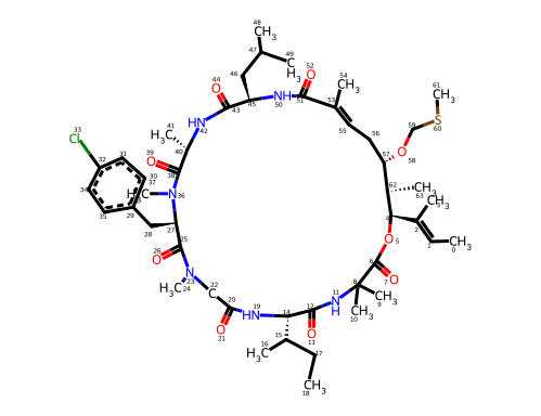 C/C=C(\C)[C@H]1OC(=O)C(C)(C)NC(=O)[C@H](C(C)CC)NC(=O)CN(C)C(=O)[C@@H](Cc2ccc(Cl)cc2)N(C)C(=O)[C@H](C)NC(=O)[C@@H](CC(C)C)NC(=O)/C(C)=C/C[C@H](OCSC)[C@@H]1C